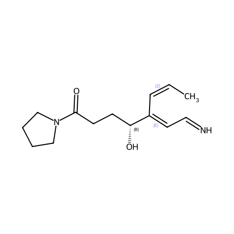 C/C=C\C(=C/C=N)[C@H](O)CCC(=O)N1CCCC1